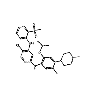 Cc1cc(Nc2cc(Nc3ccccc3S(C)(=O)=O)c(Cl)cn2)c(OC(C)C)cc1C1CCN(C)CC1